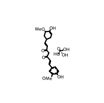 COc1cc(/C=C/C(=O)CC(=O)/C=C/C2CC=C(O)C(OC)C2)ccc1O.O=P(O)(O)O